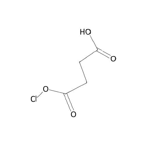 O=C(O)CCC(=O)OCl